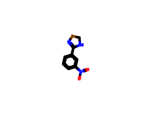 O=[N+]([O-])c1cccc(C2=NSCN2)c1